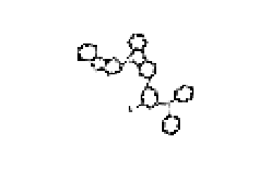 Brc1cc(-c2ccc3c4ccccc4n(-c4ccc5sc6ccccc6c5c4)c3c2)cc(N(c2ccccc2)c2ccccc2)c1